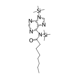 CCCCCCCC(=O)N(c1ncnc2c1ncn2[Si](C)(C)C)[Si](C)(C)C